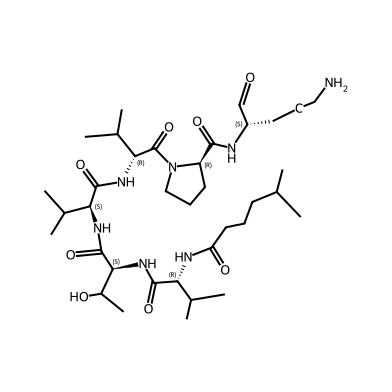 CC(C)CCCC(=O)N[C@@H](C(=O)N[C@H](C(=O)N[C@H](C(=O)N[C@@H](C(=O)N1CCC[C@@H]1C(=O)N[C@H](C=O)CCCN)C(C)C)C(C)C)C(C)O)C(C)C